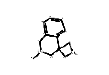 CN1Cc2ccccc2C2(COC2)C1